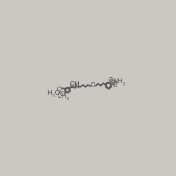 CC1(C)OCc2cc([C@H](O)CNCCCCCOCCCCc3cccc(S(N)(=O)=O)c3)ccc2O1